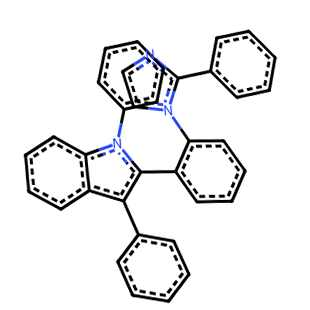 c1ccc(-c2c(-c3ccccc3-n3ccnc3-c3ccccc3)n(-c3ccccc3)c3ccccc23)cc1